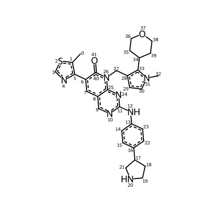 Cc1scnc1-c1cc2cnc(Nc3ccc(C4CCNC4)cc3)nc2n(Cc2ccn(C)c2C2CCOCC2)c1=O